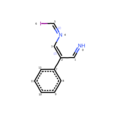 N=C/C(=C\N=C/I)c1ccccc1